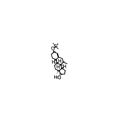 C[C@@H]1CC2=C[C@H](O[Si](C)(C)C)CC[C@@H]2[C@H]2CC[C@]3(C)[C@@H](O)CC[C@H]3[C@@H]21